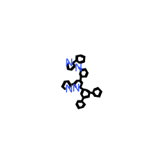 c1ccc(-c2cc(-c3ccccc3)cc(-c3cc(-c4cccc(-n5c6ccccc6c6ncccc65)c4)cc(-c4ccccn4)n3)c2)cc1